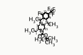 CC[C@H]1CN(C(C)c2ccc(C(F)(F)F)cc2F)[C@H](CC)CN1C(=O)OC(C)(C)C